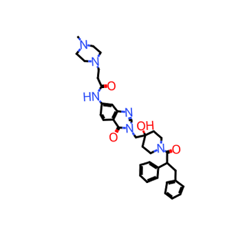 CN1CCN(CCC(=O)Nc2ccc3c(=O)n(CC4(O)CCN(C(=O)C(Cc5ccccc5)c5ccccc5)CC4)cnc3c2)CC1